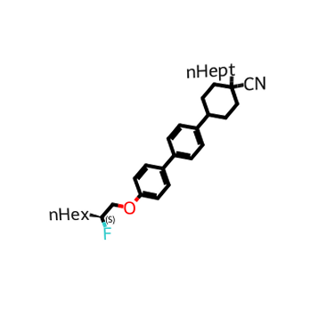 CCCCCCCC1(C#N)CCC(c2ccc(-c3ccc(OC[C@@H](F)CCCCCC)cc3)cc2)CC1